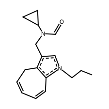 CCCn1cc(CN(C=O)C2CC2)c2c1C=CC=CC2